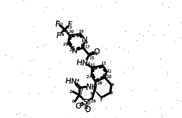 CC1(C)C(=N)N[C@@]2(CCCc3ccc(NC(=O)c4ncc(C(F)(F)F)cn4)cc32)CS1(=O)=O